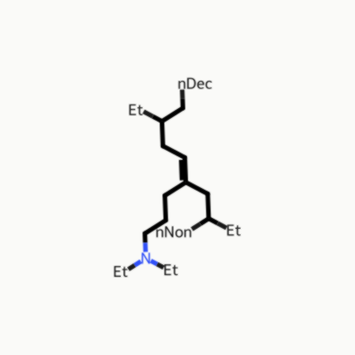 CCCCCCCCCCCC(CC)C/C=C(\CCCN(CC)CC)CC(CC)CCCCCCCCC